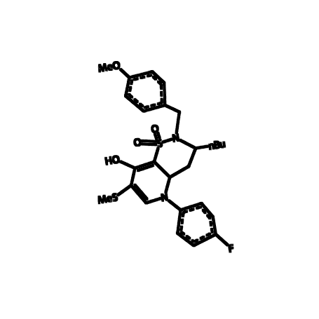 CCCCC1CC2C(=C(O)C(SC)=CN2c2ccc(F)cc2)S(=O)(=O)N1Cc1ccc(OC)cc1